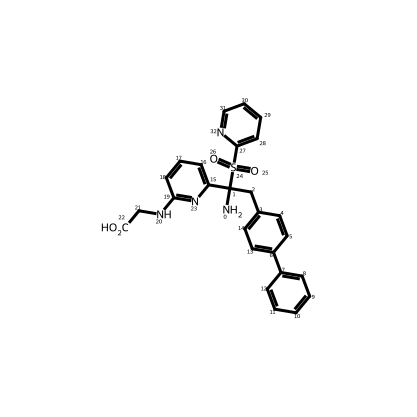 NC(Cc1ccc(-c2ccccc2)cc1)(c1cccc(NCC(=O)O)n1)S(=O)(=O)c1ccccn1